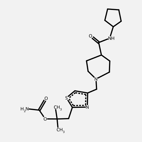 CC(C)(Cc1nc(CN2CCC(C(=O)NC3CCCC3)CC2)cs1)OC(N)=O